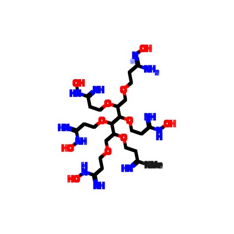 CNC(=N)CCOC(COCCC(=N)NO)C(OCCC(=N)NO)C(OCCC(=N)NO)C(COCC/C(N)=N/O)OCCC(=N)NO